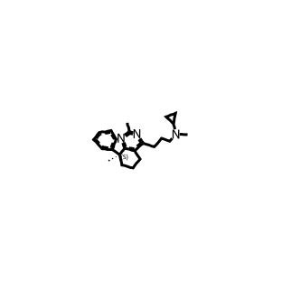 Cc1nc(CCCN(C)C2CC2)c2c(n1)[C@](C)(c1ccccc1)CCC2